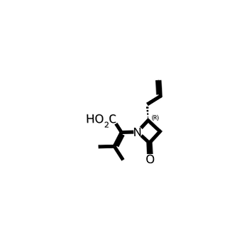 C=CC[C@@H]1CC(=O)N1C(C(=O)O)=C(C)C